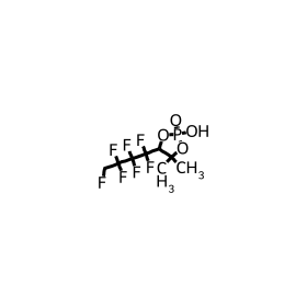 CC1(C)OP(=O)(O)OC1C(F)(F)C(F)(F)C(F)(F)CF